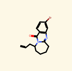 C=CCC1CCCCc2nc3cc(Br)ccc3c(=O)n21